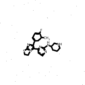 CC1CC(c2nc3n(c2-c2ccnc(NC4CCCNC4)n2)CCS3)=CC=C1F